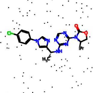 CC(C)C1COC(=O)N1c1ncnc(N[C@H](C)c2cn(-c3ccc(Cl)cc3)cn2)n1